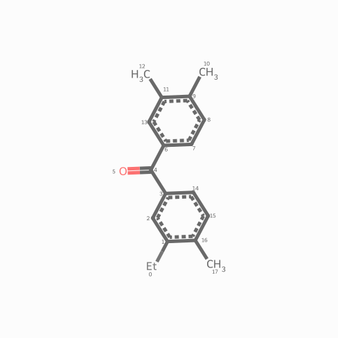 CCc1cc(C(=O)c2ccc(C)c(C)c2)ccc1C